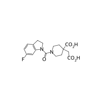 O=C(O)CC1(C(=O)O)CCN(C(=O)N2CCc3ccc(F)cc32)CC1